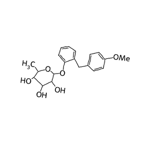 COc1ccc(Cc2ccccc2OC2OC(C)C(O)C(O)C2O)cc1